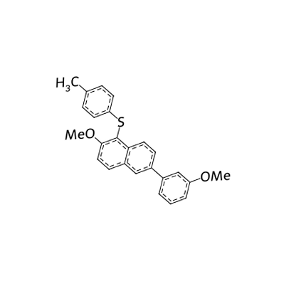 COc1cccc(-c2ccc3c(Sc4ccc(C)cc4)c(OC)ccc3c2)c1